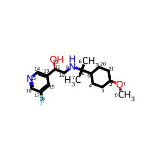 COC1CCC(C(C)(C)NC[C@H](O)c2cncc(F)c2)CC1